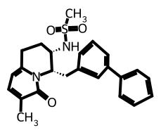 Cc1ccc2n(c1=O)[C@@H](Cc1cccc(-c3ccccc3)c1)[C@@H](NS(C)(=O)=O)CC2